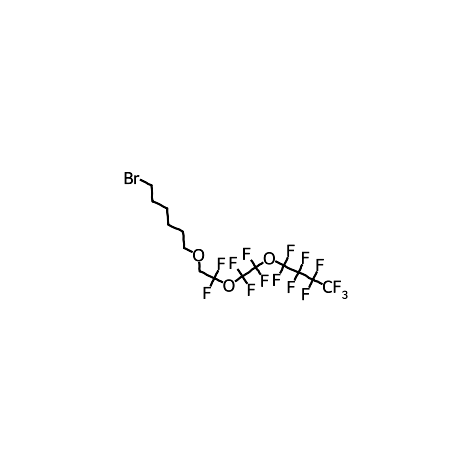 FC(F)(COCCCCCCBr)OC(F)(F)C(F)(F)OC(F)(F)C(F)(F)C(F)(F)C(F)(F)F